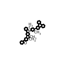 Cc1cc(-n2c3ccccc3c3cc4c(cc32)C(C)(C)c2cc3oc5ccccc5c3cc2-4)c(C)cc1-c1ccc2c3ccccc3c3ccccc3c2c1